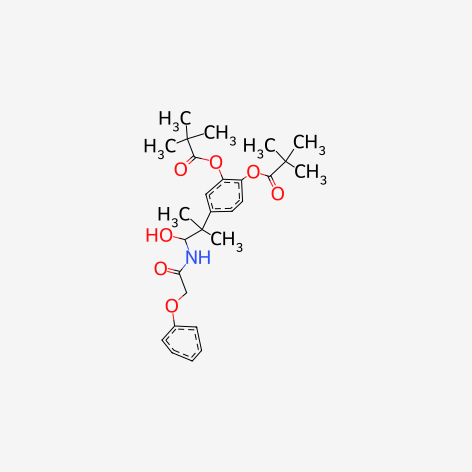 CC(C)(C)C(=O)Oc1ccc(C(C)(C)C(O)NC(=O)COc2ccccc2)cc1OC(=O)C(C)(C)C